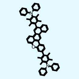 Cc1c(C)c(N(c2ccccc2)c2ccccc2)c(C)c(C)c1-c1ccc2c(c1)Oc1cccc3c1c-2cc1c2ccccc2c(-c2c(C)c(C)c(N(c4ccccc4)c4ccccc4)c(C)c2C)cc31